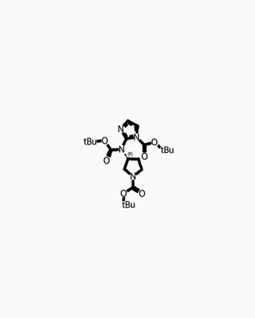 CC(C)(C)OC(=O)N1CC[C@@H](N(C(=O)OC(C)(C)C)c2nccn2C(=O)OC(C)(C)C)C1